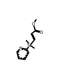 COC(=O)C=C[Si](C)(C)c1ccccn1